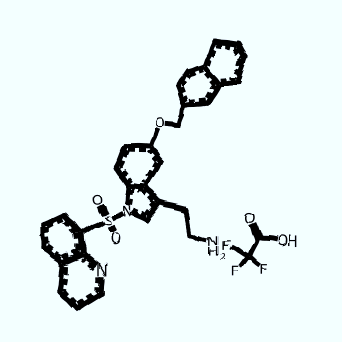 NCCc1cn(S(=O)(=O)c2cccc3cccnc23)c2ccc(OCc3ccc4ccccc4c3)cc12.O=C(O)C(F)(F)F